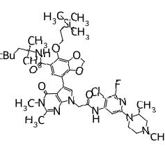 Cc1nc2c(c(-c3cc(C(=O)NC(C)(C)CC(C)(C)C)c(OCC[Si](C)(C)C)c4c3OCO4)cn2CC(=O)Nc2cc(N3CCN(C)C[C@@H]3C)nc(F)c2Cl)c(=O)n1C